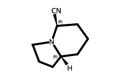 N#C[C@H]1CCC[C@@H]2CCCN21